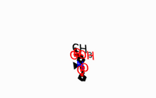 CCOC(=O)C1=C(O)CCC(N(C(=O)OCc2ccccc2)C2CC2)C1